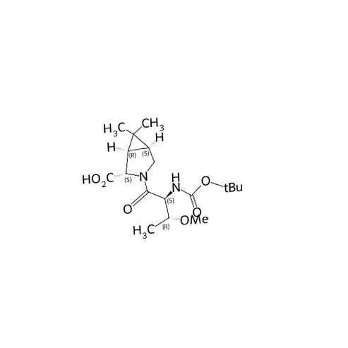 CO[C@H](C)[C@H](NC(=O)OC(C)(C)C)C(=O)N1C[C@H]2[C@@H]([C@H]1C(=O)O)C2(C)C